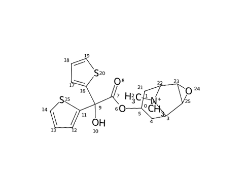 C[N+]1(C)C2CC(OC(=O)C(O)(c3cccs3)c3cccs3)CC1C1OC12